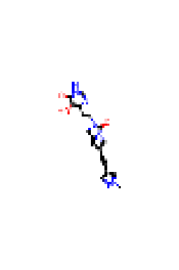 Cn1cc(C#Cc2cc3n(c2)C(=O)N(CCc2nc[nH]c(=O)c2O)C3)cn1